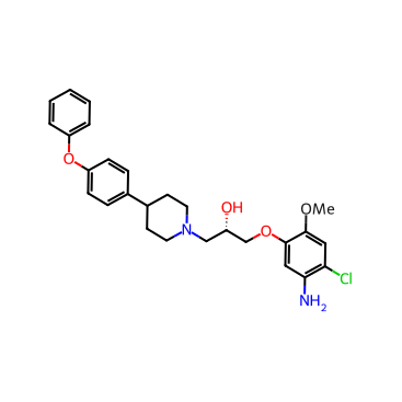 COc1cc(Cl)c(N)cc1OC[C@@H](O)CN1CCC(c2ccc(Oc3ccccc3)cc2)CC1